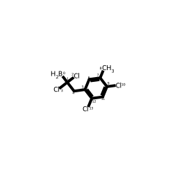 BC(Cl)(Cl)Cc1cc(C)c(Cl)cc1Cl